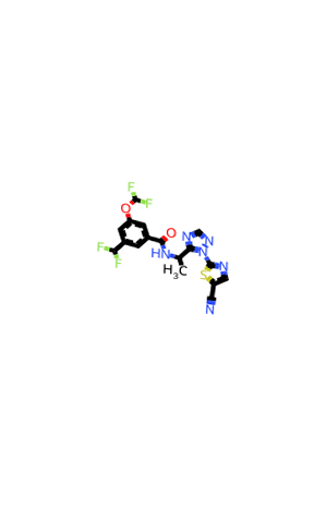 CC(NC(=O)c1cc(OC(F)F)cc(C(F)F)c1)c1ncnn1-c1ncc(C#N)s1